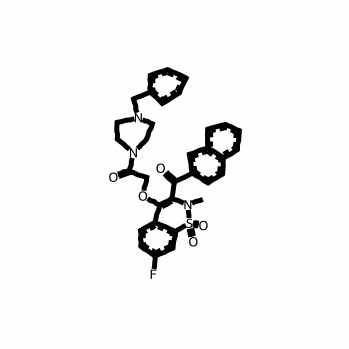 CN1C(C(=O)c2ccc3ccccc3c2)=C(OCC(=O)N2CCN(Cc3ccccc3)CC2)c2ccc(F)cc2S1(=O)=O